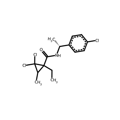 CCC1(C(=O)N[C@H](C)c2ccc(Cl)cc2)C(C)C1(Cl)Cl